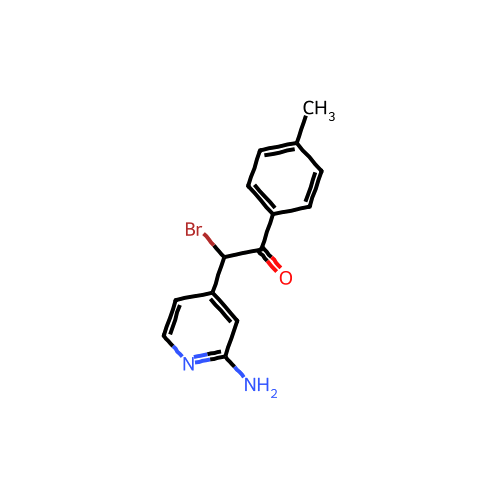 Cc1ccc(C(=O)C(Br)c2ccnc(N)c2)cc1